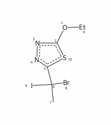 CCOc1nnc(C(C)(Br)I)s1